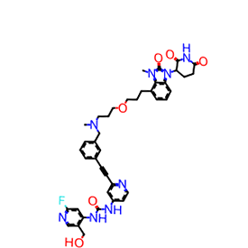 CN(CCCOCCCc1cccc2c1n(C)c(=O)n2C1CCC(=O)NC1=O)Cc1cccc(C#Cc2cc(NC(=O)Nc3cc(F)ncc3CO)ccn2)c1